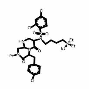 CC[N+](CC)(CC)CCCCN(C1CNC2CN(C(C)C)C(=O)C(Cc3ccc(Cl)cc3)N2C1=O)S(=O)(=O)c1ccc(Cl)cc1Cl